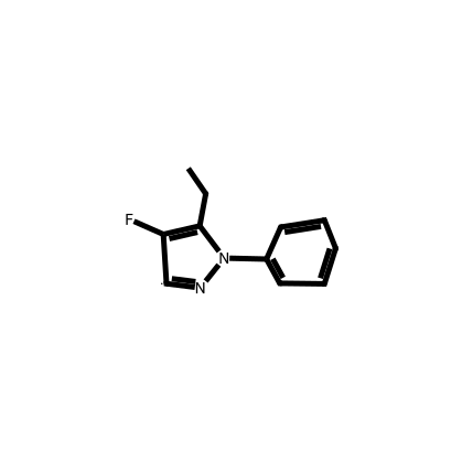 CCc1c(F)[c]nn1-c1ccccc1